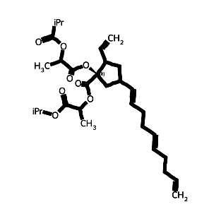 C=CCCC=CCCC=CC1CC(C=C)[C@@](OC(=O)C(C)OC(=O)C(C)C)(C(=O)OC(C)C(=O)OC(C)C)C1